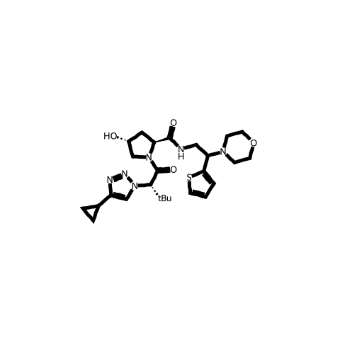 CC(C)(C)[C@@H](C(=O)N1C[C@H](O)C[C@H]1C(=O)NCC(c1cccs1)N1CCOCC1)n1cc(C2CC2)nn1